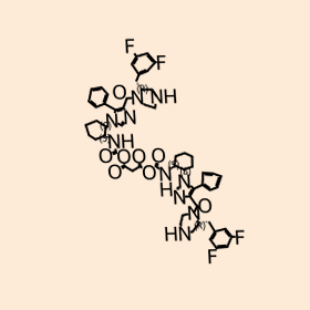 O=C(CC(=O)OC(=O)N[C@H]1CCCC[C@@H]1n1cnc(C(=O)N2CCNC[C@H]2Cc2cc(F)cc(F)c2)c1-c1ccccc1)OC(=O)N[C@H]1CCCC[C@@H]1n1cnc(C(=O)N2CCNC[C@H]2Cc2cc(F)cc(F)c2)c1-c1ccccc1